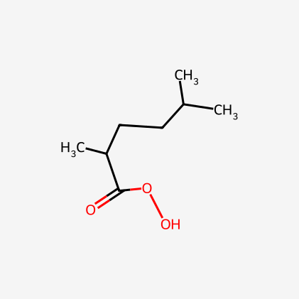 CC(C)CCC(C)C(=O)OO